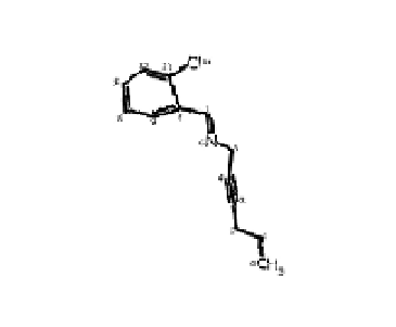 CCCC#CCN=Cc1ccccc1Cl